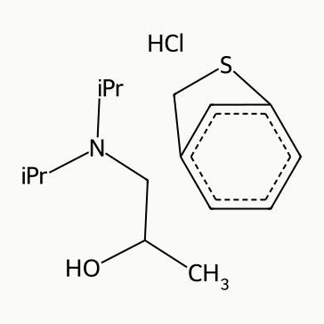 CC(O)CN(C(C)C)C(C)C.Cl.c1cc2cc(c1)SC2